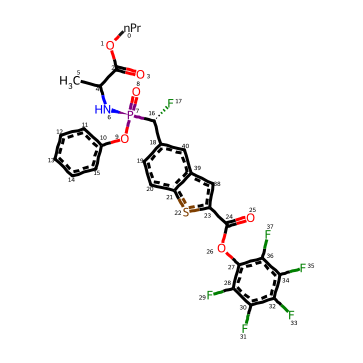 CCCOC(=O)C(C)N[P@](=O)(Oc1ccccc1)[C@H](F)c1ccc2sc(C(=O)Oc3c(F)c(F)c(F)c(F)c3F)cc2c1